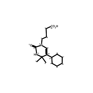 CC1(C)NC(=O)N(CCCC(=O)O)C=C1C1CCCCC1